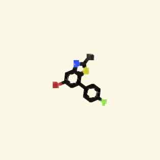 CCc1nc2cc(Br)cc(-c3ccc(F)cc3)c2s1